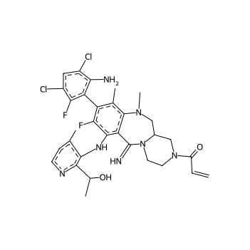 C=CC(=O)N1CCN2C(=N)c3c(Nc4c(C)ccnc4C(C)O)c(F)c(-c4c(N)c(Cl)cc(Cl)c4F)c(C)c3N(C)CC2C1